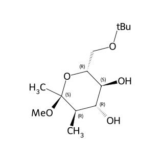 CO[C@@]1(C)O[C@H](COC(C)(C)C)[C@@H](O)[C@H](O)[C@H]1C